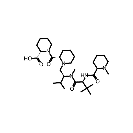 CC(C)[C@@H](CN1CCCC[C@H]1C(=O)N1CCCC[C@H]1C(=O)O)N(C)C(=O)[C@@H](NC(=O)C1CCCCN1C)C(C)(C)C